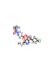 CCCCON=[N+]([O-])N1CCC(C(=O)Oc2c(C)ncc3c2CO[C@H]3c2ccc(Cl)cc2)CC1